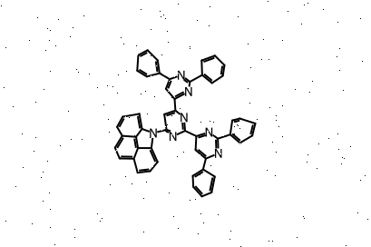 c1ccc(-c2cc(-c3cc(-n4c5cccc6ccc7cccc4c7c65)nc(-c4cc(-c5ccccc5)nc(-c5ccccc5)n4)n3)nc(-c3ccccc3)n2)cc1